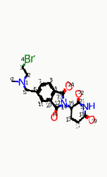 CN(CCBr)Cc1ccc2c(c1)C(=O)N(C1CCC(=O)NC1=O)C2=O